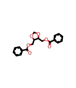 O=C(OCC1OCOC1COC(=O)c1ccccc1)c1ccccc1